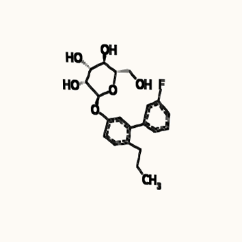 CCCc1ccc(O[C@@H]2O[C@@H](CO)[C@H](O)[C@@H](O)[C@H]2O)cc1-c1cccc(F)c1